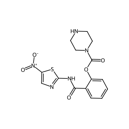 O=C(Nc1ncc([N+](=O)[O-])s1)c1ccccc1OC(=O)N1CCNCC1